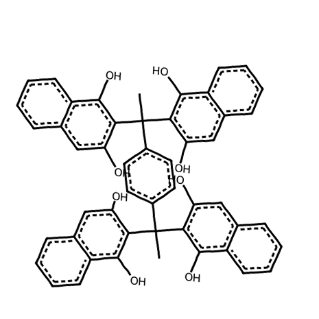 CC(c1ccc(C(C)(c2c(O)cc3ccccc3c2O)c2c(O)cc3ccccc3c2O)cc1)(c1c(O)cc2ccccc2c1O)c1c(O)cc2ccccc2c1O